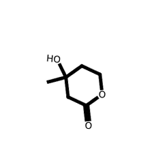 CC1(O)CCOC(=O)C1